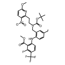 COC(=O)c1c(Nc2ccc(F)cc2CN(CCc2nc(OC)ccc2[N+](=O)[O-])C(=O)OC(C)(C)C)ccc(C(F)(F)F)c1F